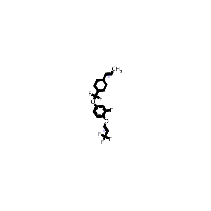 C/C=C/C1CCC(C(F)(F)Oc2ccc(O/C=C/C(F)(F)F)c(F)c2)CC1